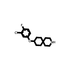 Fc1ccc(OC2CCC3(CCNCC3)CC2)cc1Cl